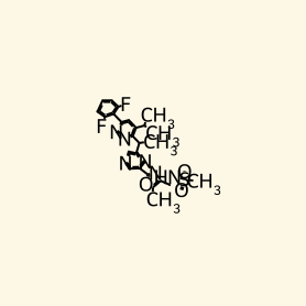 Cc1oc(-c2cncc(C(C)c3nnc(-c4c(F)cccc4F)cc3C(C)C)n2)nc1CNS(C)(=O)=O